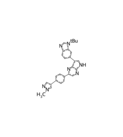 Cn1cc(-c2ccc(-c3cnc4[nH]cc(-c5ccc6ncn(C(C)(C)C)c6c5)c4n3)cc2)cn1